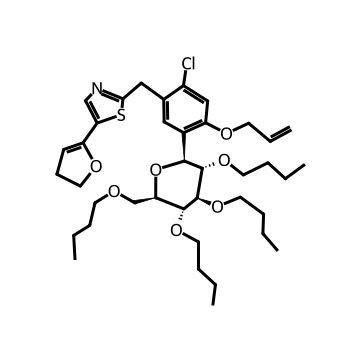 C=CCOc1cc(Cl)c(Cc2ncc(C3=CCCO3)s2)cc1[C@@H]1O[C@H](COCCCC)[C@@H](OCCCC)[C@H](OCCCC)[C@H]1OCCCC